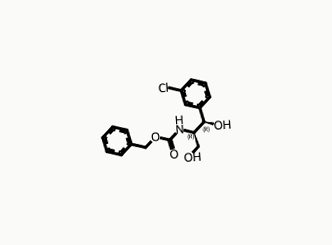 O=C(N[C@H](CO)[C@H](O)c1cccc(Cl)c1)OCc1ccccc1